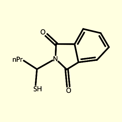 [CH2]CCC(S)N1C(=O)c2ccccc2C1=O